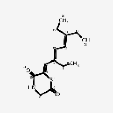 CCC(/C=C1\SC(=O)CNC1=O)=C\C=C(/CC)CO